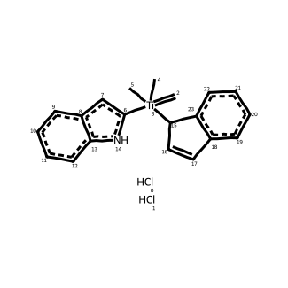 Cl.Cl.[CH2]=[Ti]([CH3])([CH3])([c]1cc2ccccc2[nH]1)[CH]1C=Cc2ccccc21